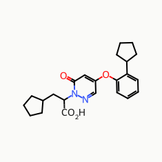 O=C(O)C(CC1CCCC1)n1ncc(Oc2ccccc2C2CCCC2)cc1=O